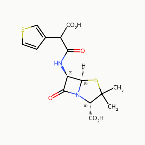 CC1(C)S[C@@H]2[C@H](NC(=O)C(C(=O)O)c3ccsc3)C(=O)N2[C@H]1C(=O)O